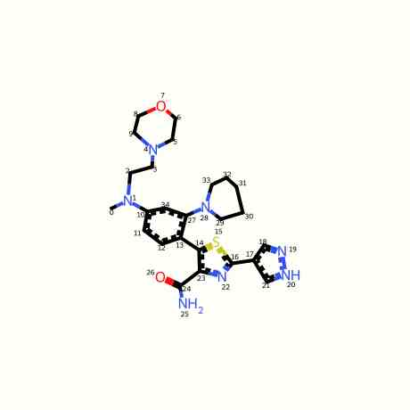 CN(CCN1CCOCC1)c1ccc(-c2sc(-c3cn[nH]c3)nc2C(N)=O)c(N2CCCCC2)c1